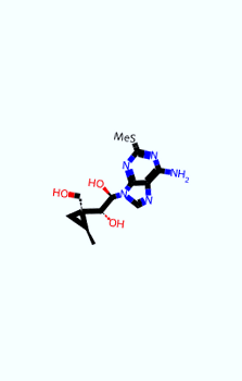 CSc1nc(N)c2ncn([C@H](O)[C@H](O)[C@]3(CO)C[C@@H]3C)c2n1